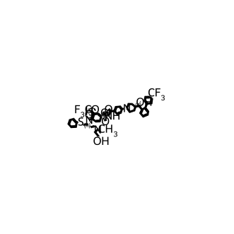 CN(CCO)CC[C@H](CSc1ccccc1)Nc1ccc(S(=O)(=O)NC(=O)c2ccc(N3CCC([C@H](O)c4ccccc4-c4ccc(C(F)(F)F)cc4)CC3)cc2)cc1S(=O)(=O)C(F)(F)F